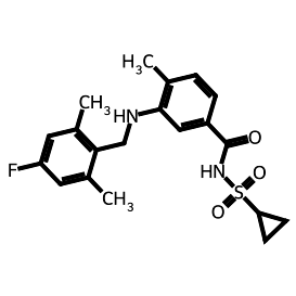 Cc1ccc(C(=O)NS(=O)(=O)C2CC2)cc1NCc1c(C)cc(F)cc1C